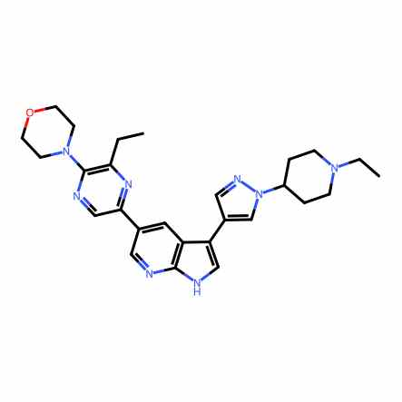 CCc1nc(-c2cnc3[nH]cc(-c4cnn(C5CCN(CC)CC5)c4)c3c2)cnc1N1CCOCC1